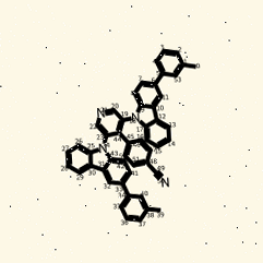 Cc1cccc(-c2ccc3c(c2)c2ccccc2n3-c2cncc(-n3c4ccccc4c4cc(-c5cccc(C)c5)ccc43)c2-c2ccc(C#N)cc2)c1